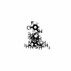 [2H]c1nc(N([2H])C2([2H])C([2H])([2H])CN(C([2H])c3ccc(F)c(Cl)c3)CC2([2H])[2H])c2c([2H])c(C([2H])(C)C)sc2n1